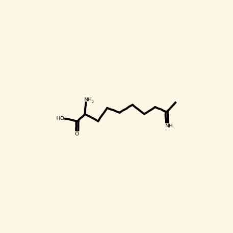 CC(=N)CCCCCCC(N)C(=O)O